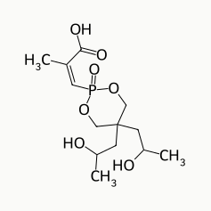 CC(=CP1(=O)OCC(CC(C)O)(CC(C)O)CO1)C(=O)O